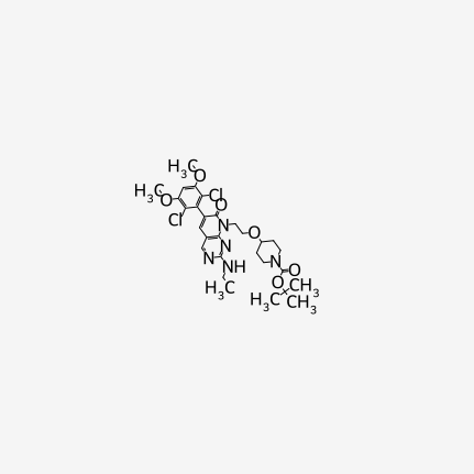 CCNc1ncc2cc(-c3c(Cl)c(OC)cc(OC)c3Cl)c(=O)n(CCOC3CCN(C(=O)OC(C)(C)C)CC3)c2n1